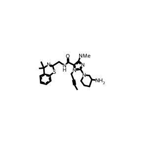 CC#CCn1c(N2CCCC(N)C2)nc(NC)c1C(=O)NCC1=NC(C)(C)c2ccccc2S1